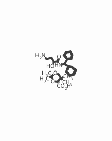 CC1(C)OCC(C)(C)[C@H](C(=O)O)O1.NCCC(O)C(=O)NC(c1ccccc1)c1ccccc1